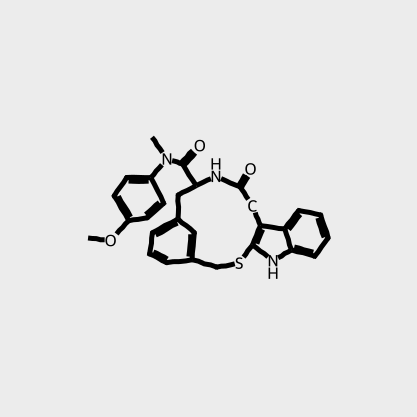 COc1ccc(N(C)C(=O)C2Cc3cccc(c3)CSc3[nH]c4ccccc4c3CC(=O)N2)cc1